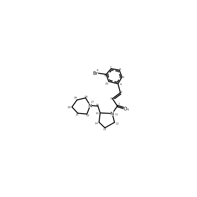 O=C(C=Cc1cccc(Br)c1)N1CCCC1CN1CCCCC1